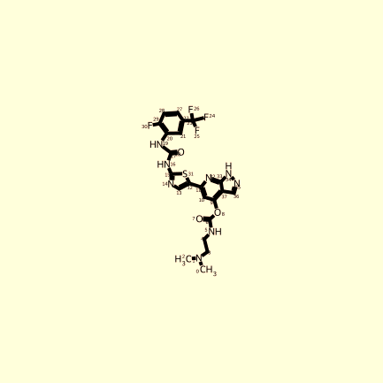 CN(C)CCNC(=O)Oc1cc(-c2cnc(NC(=O)Nc3cc(C(F)(F)F)ccc3F)s2)nc2[nH]ncc12